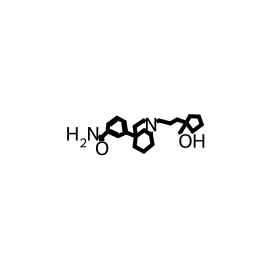 NC(=O)c1cccc(C23CCCC(C2)N(CCCC2(CO)CCCC2)CC3)c1